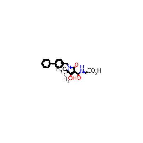 CC1(C)C(O)=C(C(=O)NCC(=O)O)C(=O)N1Cc1ccc(-c2ccccc2)cc1